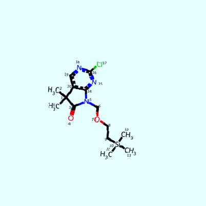 CC1(C)C(=O)N(COCC[Si](C)(C)C)c2nc(Cl)ncc21